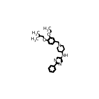 CCOc1cc(CN2CCC(Nc3cnc(-c4ccccc4)nc3)CC2)ccc1OCC(C)C